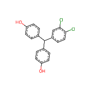 Oc1ccc(C(c2ccc(O)cc2)c2ccc(Cl)c(Cl)c2)cc1